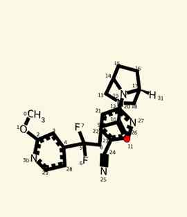 COc1cc(C(F)(F)CCC(=O)N2CC3CC[C@H](C2)N3c2ccc(C#N)cn2)ccn1